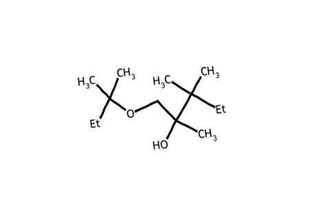 CCC(C)(C)OCC(C)(O)C(C)(C)CC